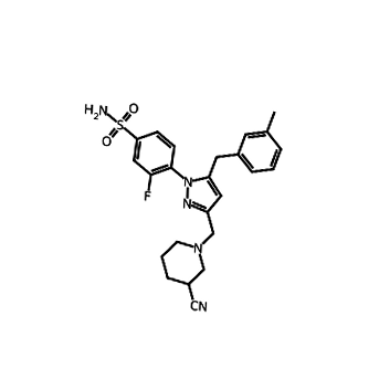 Cc1cccc(Cc2cc(CN3CCCC(C#N)C3)nn2-c2ccc(S(N)(=O)=O)cc2F)c1